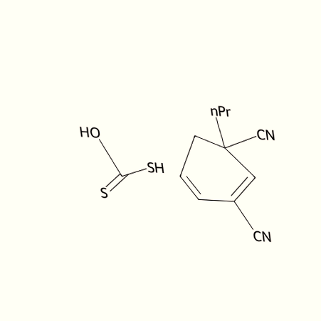 CCCC1(C#N)C=C(C#N)C=CC1.OC(=S)S